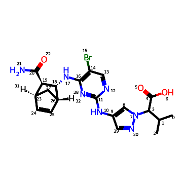 CC(C)C(C(=O)O)n1cc(Nc2ncc(Br)c(N[C@H]3[C@H](C(N)=O)[C@@H]4C=C[C@@H]3C4)n2)cn1